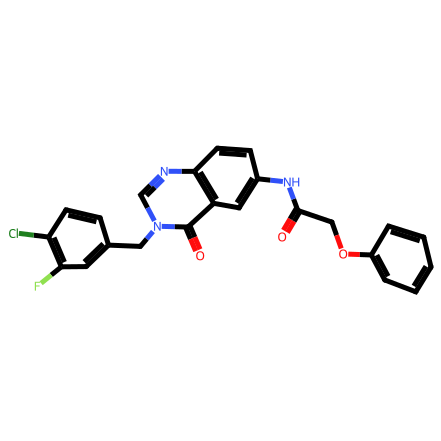 O=C(COc1ccccc1)Nc1ccc2ncn(Cc3ccc(Cl)c(F)c3)c(=O)c2c1